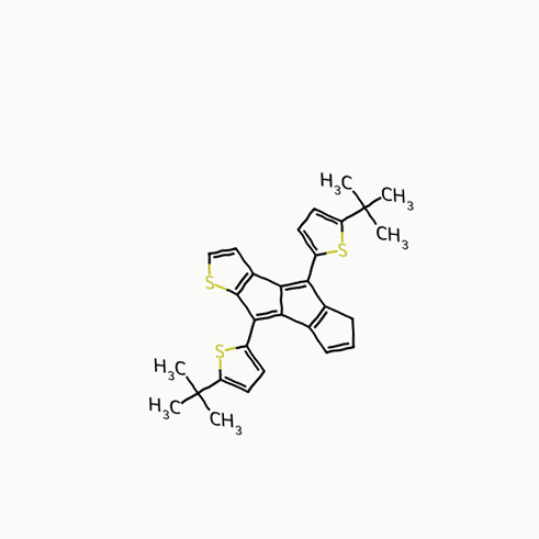 CC(C)(C)c1ccc(C2=C3C(=C(c4ccc(C(C)(C)C)s4)c4sccc43)C3=C2CC=C3)s1